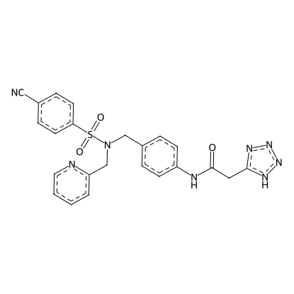 N#Cc1ccc(S(=O)(=O)N(Cc2ccc(NC(=O)Cc3nnn[nH]3)cc2)Cc2ccccn2)cc1